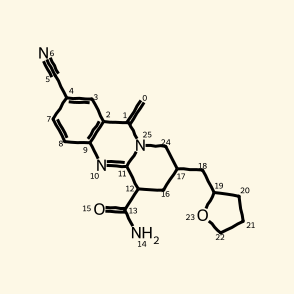 C=C1c2cc(C#N)ccc2N=C2C(C(N)=O)CC(CC3CCCO3)CN12